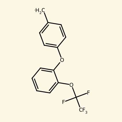 [CH2]c1ccc(Oc2ccccc2OC(F)(F)C(F)(F)F)cc1